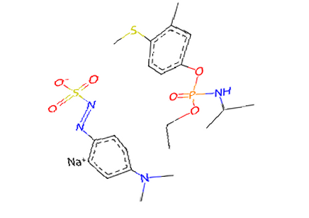 CCOP(=O)(NC(C)C)Oc1ccc(SC)c(C)c1.CN(C)c1ccc(/N=N/S(=O)(=O)[O-])cc1.[Na+]